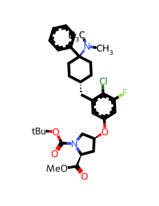 COC(=O)[C@@H]1C[C@H](Oc2cc(F)c(Cl)c(C[C@H]3CC[C@](c4ccccc4)(N(C)C)CC3)c2)CN1C(=O)OC(C)(C)C